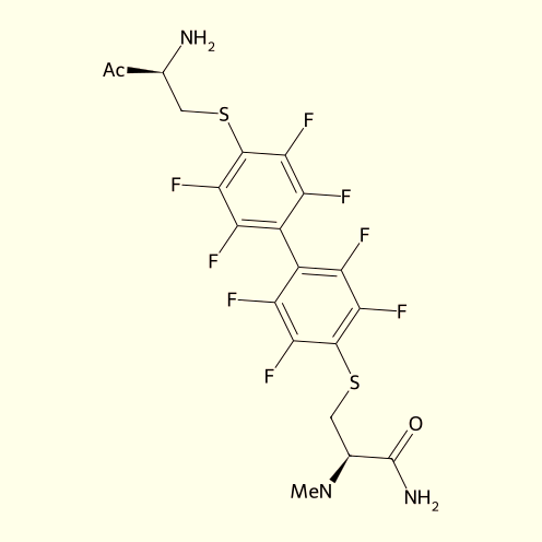 CN[C@@H](CSc1c(F)c(F)c(-c2c(F)c(F)c(SC[C@H](N)C(C)=O)c(F)c2F)c(F)c1F)C(N)=O